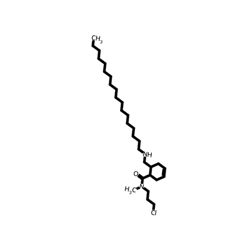 CCCCCCCCCCCCCCCCCCNCC1CC=CCC1C(=O)N(C)CCCCl